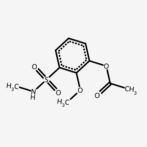 CNS(=O)(=O)c1cccc(OC(C)=O)c1OC